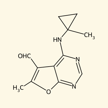 Cc1oc2ncnc(NC3(C)CC3)c2c1C=O